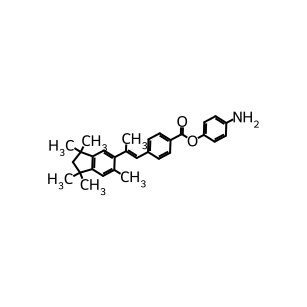 CC(=Cc1ccc(C(=O)Oc2ccc(N)cc2)cc1)c1cc2c(cc1C)C(C)(C)CC2(C)C